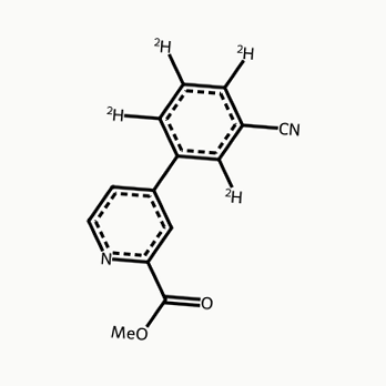 [2H]c1c([2H])c(C#N)c([2H])c(-c2ccnc(C(=O)OC)c2)c1[2H]